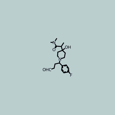 CC(C(=O)N(C)C)C1(O)CCN(C(CCC=O)c2ccc(F)cc2)CC1